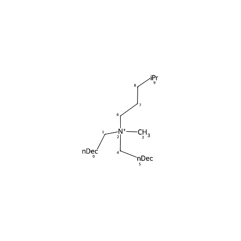 CCCCCCCCCCC[N+](C)(CCCCCCCCCCC)CCCC(C)C